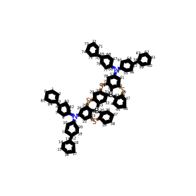 c1ccc(-c2ccc(N(c3ccc(-c4ccccc4)cc3)c3cc4c5c(c3)Sc3cc6c(cc3B5c3ccccc3S4)B3c4ccccc4Sc4cc(N(c5ccc(-c7ccccc7)cc5)c5ccc(-c7ccccc7)cc5)cc(c43)S6)cc2)cc1